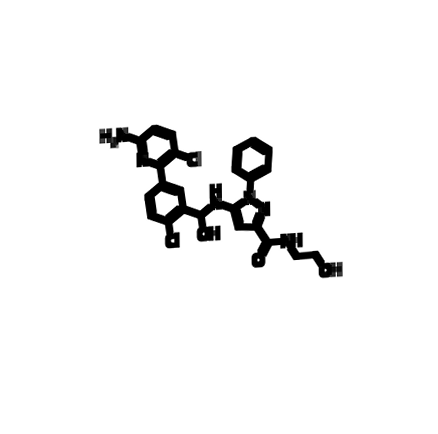 Nc1ccc(Cl)c(-c2ccc(Cl)c(C(O)Nc3cc(C(=O)NCCO)nn3-c3ccccc3)c2)n1